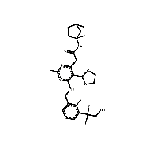 Cc1nc(CC(=O)NC23CCC(CC2)C3)c(C2OCCO2)c(NCc2cccc(C(F)(F)CO)c2F)n1